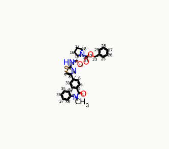 CN(C(=O)c1ccc(-c2csc(NC(=O)[C@@H]3CCCN3C(=O)OCc3ccccc3)n2)cc1)c1ccccc1